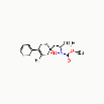 CCC1=C(c2ccccc2)C=CC(O)(CC(NC(=O)OC(C)(C)C)C(=O)O)C1